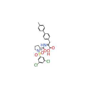 Cc1ccc(-c2ccc(C[C@H](NC(=O)[C@@H]3CCCN3S(=O)(=O)c3cc(Cl)cc(Cl)c3)C(=O)O)cc2)cc1